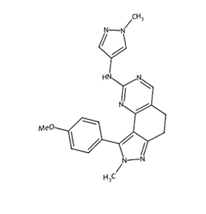 COc1ccc(-c2c3c(nn2C)CCc2cnc(Nc4cnn(C)c4)nc2-3)cc1